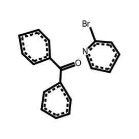 Brc1ccccn1.O=C(c1ccccc1)c1ccccc1